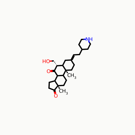 C[C@]12CCC(=CCC3CCNCC3)CC1[C@@H](CO)C(=O)C1C2CC[C@]2(C)C(=O)CCC12